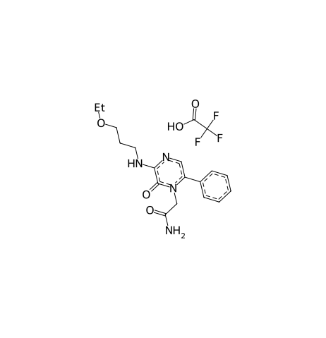 CCOCCCNc1ncc(-c2ccccc2)n(CC(N)=O)c1=O.O=C(O)C(F)(F)F